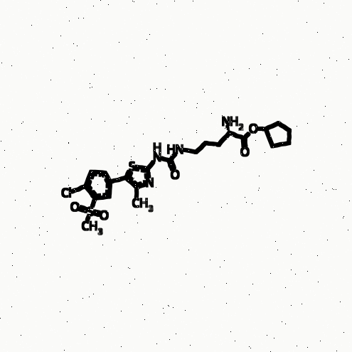 Cc1nc(NC(=O)NCCC[C@H](N)C(=O)OC2CCCC2)sc1-c1ccc(Cl)c(S(C)(=O)=O)c1